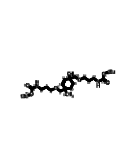 CC1(COCCCNC(=O)OC(C)(C)C)C=CC(C)(COCCCNC(=O)OC(C)(C)C)CC1